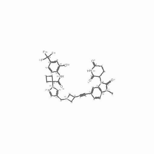 Cn1c(=O)n(C2CCC(=O)NC2=O)c2cc(C#CC3CN(Cc4cnn(C5(C(=O)Nc6ccc(C(F)(F)F)cc6Cl)CCC5)c4)C3)ccc21